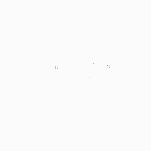 O=C1C=CC(Cc2ccc(Cl)cc2)(c2cnc(OCC(F)(F)F)nc2)NN1